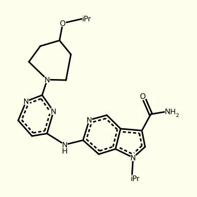 CC(C)OC1CCN(c2nccc(Nc3cc4c(cn3)c(C(N)=O)cn4C(C)C)n2)CC1